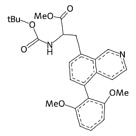 COC(=O)C(Cc1ccc(-c2c(OC)cccc2OC)c2ccncc12)NC(=O)OC(C)(C)C